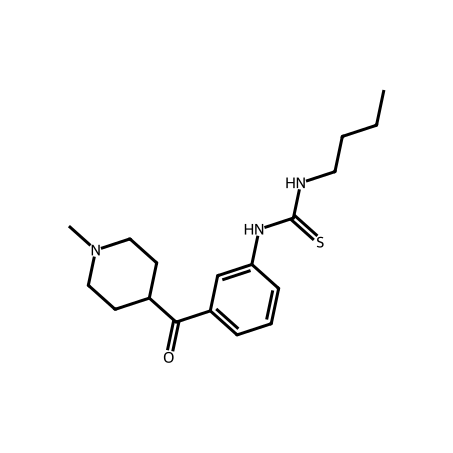 CCCCNC(=S)Nc1cccc(C(=O)C2CCN(C)CC2)c1